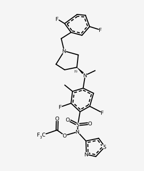 Cc1c(N(C)[C@H]2CCN(Cc3cc(F)ccc3F)C2)cc(F)c(S(=O)(=O)N(OC(=O)C(F)(F)F)c2cscn2)c1F